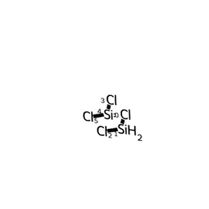 Cl[SiH2]Cl.Cl[Si]Cl